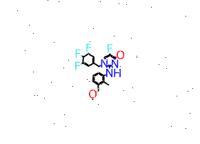 COCc1cccc(Nc2nc(=O)c(F)cn2CC2=CC(F)C(F)C(F)=C2)c1C